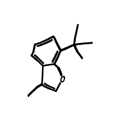 Cc1coc2c(C(C)(C)C)cccc12